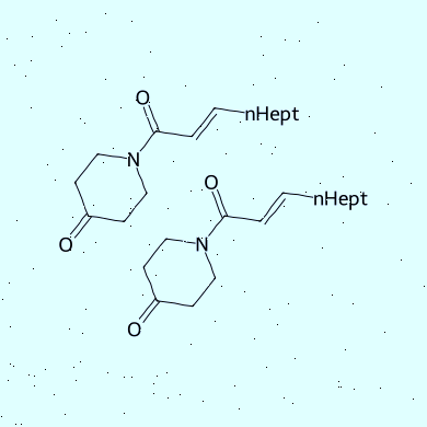 CCCCCCC/C=C/C(=O)N1CCC(=O)CC1.CCCCCCC/C=C/C(=O)N1CCC(=O)CC1